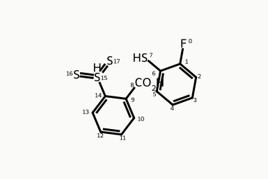 Fc1ccccc1S.O=C(O)c1ccccc1[SH](=S)=S